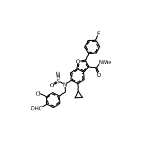 CNC(=O)c1c(-c2ccc(F)cc2)oc2cc(N(Cc3ccc(C=O)c(Cl)c3)[SH](=O)=O)c(C3CC3)cc12